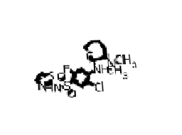 CN(C)[C@H]1CCCCC[C@@H]1Nc1cc(F)c(S(=O)(=O)Nc2nccs2)cc1Cl